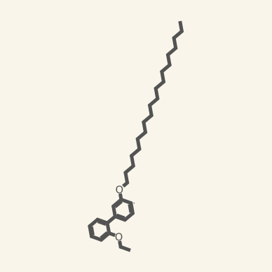 CCCCCCCCCCCCCCCCCCCCOc1[c]ccc(-c2ccccc2OCC)c1